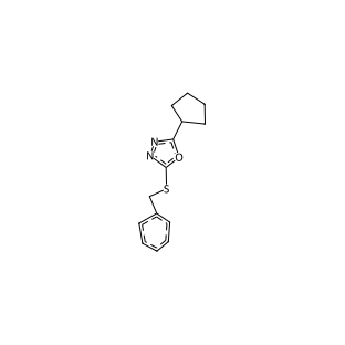 c1ccc(CSc2nnc(C3CCCC3)o2)cc1